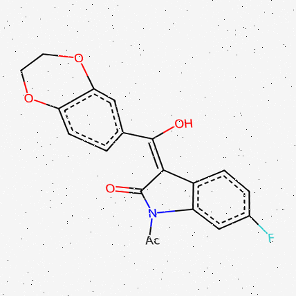 CC(=O)N1C(=O)C(=C(O)c2ccc3c(c2)OCCO3)c2ccc(F)cc21